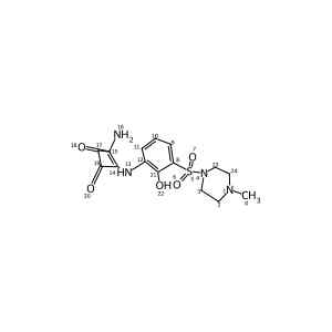 CN1CCN(S(=O)(=O)c2cccc(Nc3c(N)c(=O)c3=O)c2O)CC1